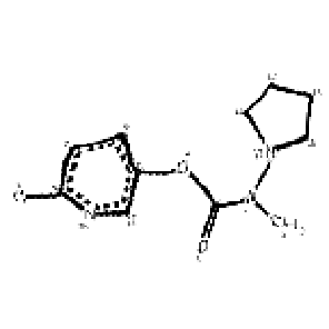 CN(C(=O)Oc1ccc(Cl)nc1)N1CCCC1